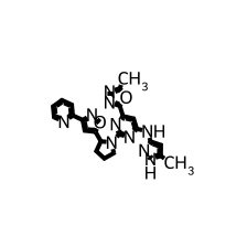 Cc1cc(Nc2cc(-c3nnc(C)o3)nc(N3CCCC3c3cc(-c4ccccn4)no3)n2)n[nH]1